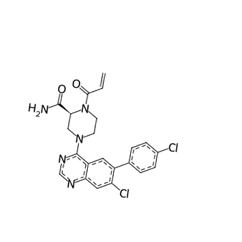 C=CC(=O)N1CCN(c2ncnc3cc(Cl)c(-c4ccc(Cl)cc4)cc23)C[C@H]1C(N)=O